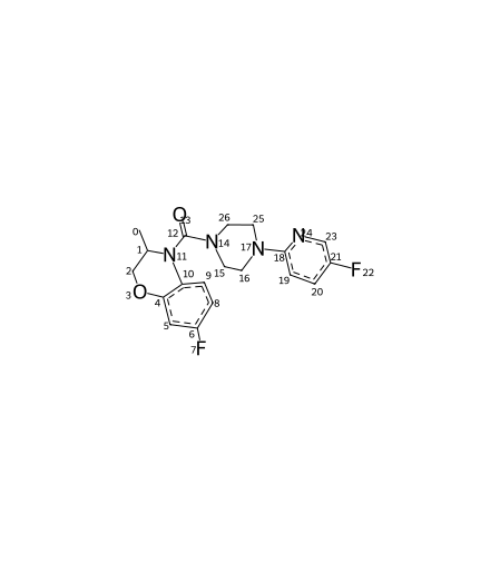 CC1COc2cc(F)ccc2N1C(=O)N1CCN(c2ccc(F)cn2)CC1